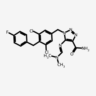 CN(C)C=Nc1c(C(N)=O)nnn1Cc1cc(Cl)c(Cc2ccc(F)cc2)c(Cl)c1